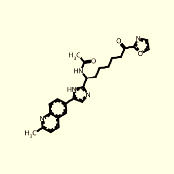 CC(=O)N[C@@H](CCCCCC(=O)c1ncco1)c1ncc(-c2ccc3nc(C)ccc3c2)[nH]1